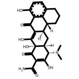 CN(C)[C@@H]1C(O)=C(C(N)=O)C(=O)[C@@]2(O)C(O)=C3C(=O)c4c(O)ccc5c4[C@H](CCC5)[C@H]3C[C@@H]12